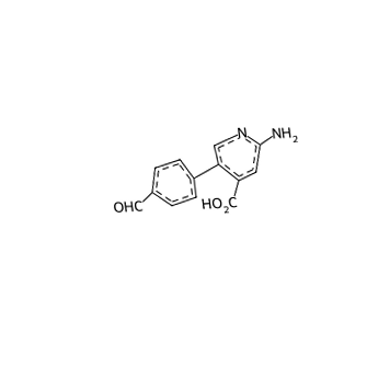 Nc1cc(C(=O)O)c(-c2ccc(C=O)cc2)cn1